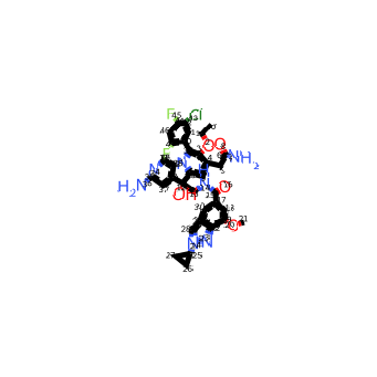 CCOc1c(CC(N)=O)cc([C@@](O)(CNC(=O)c2cc(OC)c3nn(C4CC4)cc3c2)c2ccnc(N)c2)nc1-c1cc(Cl)c(F)cc1F